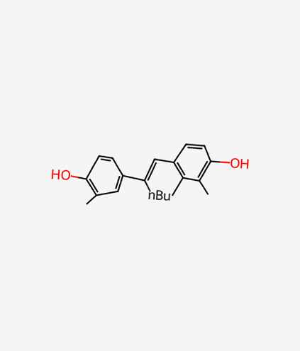 CCCCC(=Cc1ccc(O)c(C)c1C)c1ccc(O)c(C)c1